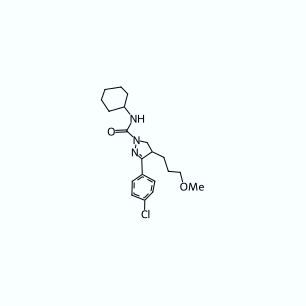 COCCCC1CN(C(=O)NC2CCCCC2)N=C1c1ccc(Cl)cc1